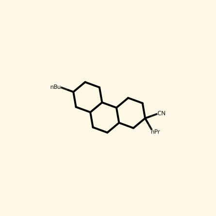 CCCCC1CCC2C(CCC3CC(C#N)(CCC)CCC32)C1